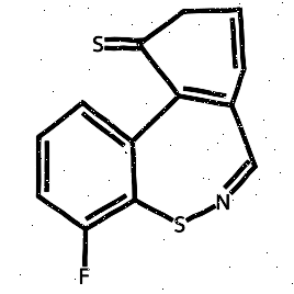 Fc1cccc2c1SN=CC1=C2C(=S)CC=C1